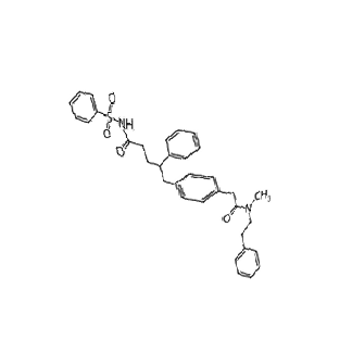 CN(CCc1ccccc1)C(=O)Cc1ccc(CC(CCC(=O)NS(=O)(=O)c2ccccc2)c2ccccc2)cc1